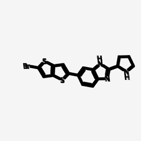 Brc1cc2sc(-c3ccc4nc(C5CCCN5)[nH]c4c3)cc2s1